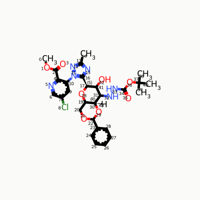 COC(=O)c1ncc(Cl)cc1-n1nc(C)nc1[C@@H]1OC2COC(c3ccccc3)O[C@@H]2C(NNC(=O)OC(C)(C)C)C1O